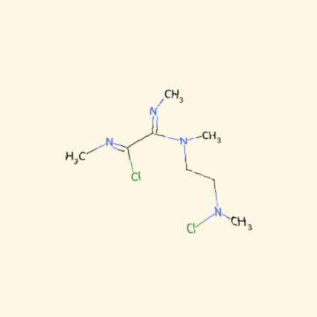 CN=C(Cl)C(=NC)N(C)CCN(C)Cl